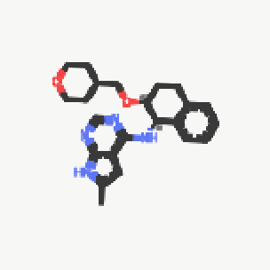 Cc1cc2c(N[C@H]3c4ccccc4CC[C@@H]3OCC3CCOCC3)ncnc2[nH]1